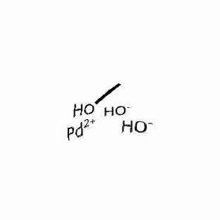 CO.[OH-].[OH-].[Pd+2]